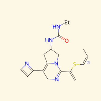 C=C(S/C=C\C)C1=NCC(C2=NC=C2)=C2CC(NC(=O)NCC)CN12